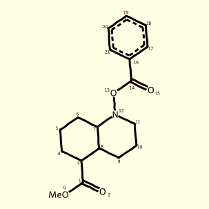 COC(=O)C1CCCC2C1CCCN2OC(=O)c1ccccc1